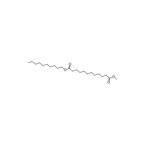 CCCCCCCCCCOC(=O)CCCCCCCCCCC(=O)OC